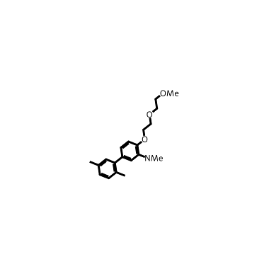 CNc1cc(-c2cc(C)ccc2C)ccc1OCCOCCOC